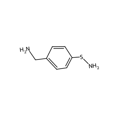 NCc1ccc(SN)cc1